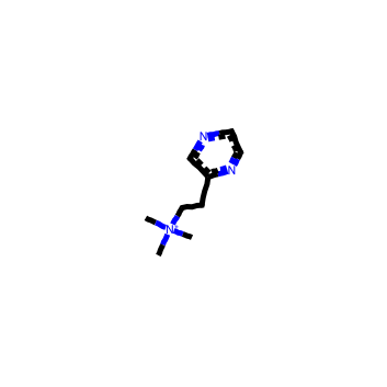 C[N+](C)(C)CCc1cnccn1